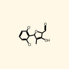 CC1=C(O)C(C=O)OC1c1c(Cl)cccc1Cl